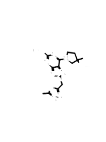 Cc1nnc(Cn2nc3nc(C(C)(C)C)nc(N4CCC(C)(O)C4)c3n2)o1